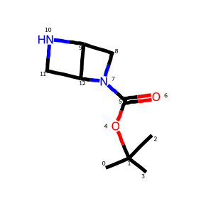 CC(C)(C)OC(=O)N1CC2NCC21